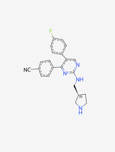 N#Cc1ccc(-c2nc(NC[C@H]3CCNC3)ncc2-c2ccc(F)cc2)cc1